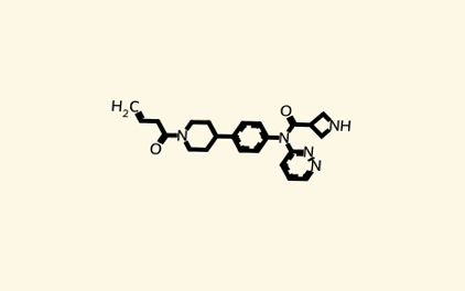 C=CCC(=O)N1CCC(c2ccc(N(C(=O)C3CNC3)c3cccnn3)cc2)CC1